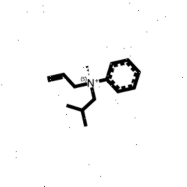 C=CC[N@+](C)(CC(C)C)c1ccccc1